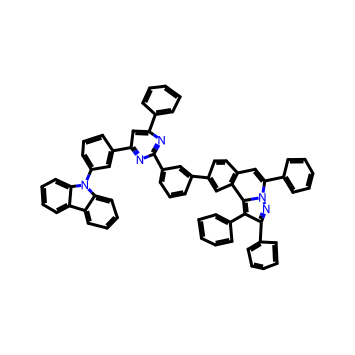 c1ccc(-c2cc(-c3cccc(-n4c5ccccc5c5ccccc54)c3)nc(-c3cccc(-c4ccc5cc(-c6ccccc6)n6nc(-c7ccccc7)c(-c7ccccc7)c6c5c4)c3)n2)cc1